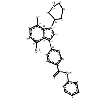 C=C(Nc1ccccc1)c1ccc(-c2nn(C3CCCNC3)c3c(C)cnc(N)c23)cc1